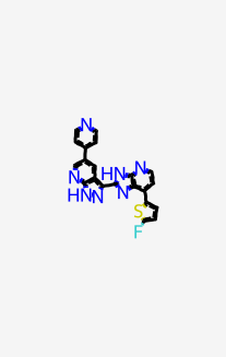 Fc1ccc(-c2ccnc3[nH]c(-c4n[nH]c5ncc(-c6ccncc6)cc45)nc23)s1